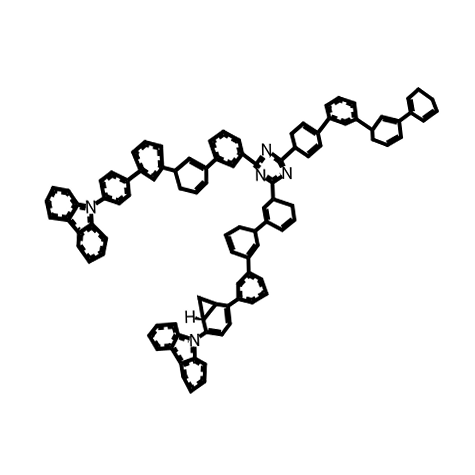 C1=CC(C2=CC(c3cccc(C4=CCC(c5nc(-c6cccc(C7=CC(c8cccc(-c9ccc(-n%10c%11ccccc%11c%11ccccc%11%10)cc9)c8)CC=C7)c6)nc(C6C=C(C7C=C(c8cccc(C9=CC=C(n%10c%11ccccc%11c%11ccccc%11%10)[C@@H]%10CC9%10)c8)C=CC7)C=CC6)n5)C=C4)c3)CC=C2)=CCC1